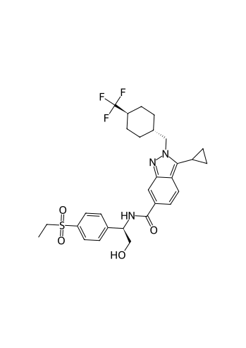 CCS(=O)(=O)c1ccc([C@H](CO)NC(=O)c2ccc3c(C4CC4)n(C[C@H]4CC[C@H](C(F)(F)F)CC4)nc3c2)cc1